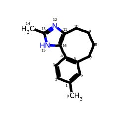 Cc1ccc2c(c1)CCCCc1nc(C)[nH]c1-2